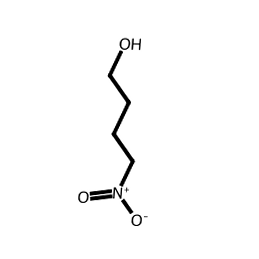 O=[N+]([O-])CCCCO